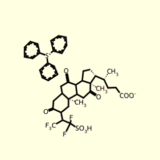 C[C@H](CCC(=O)[O-])[C@H]1CCC2C3C(=O)CC4CC(=O)C(C(C(F)(F)F)C(F)(F)S(=O)(=O)O)C[C@]4(C)C3CC(=O)[C@@]21C.c1ccc([S+](c2ccccc2)c2ccccc2)cc1